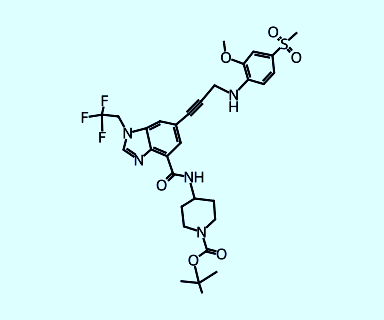 COc1cc(S(C)(=O)=O)ccc1NCC#Cc1cc(C(=O)NC2CCN(C(=O)OC(C)(C)C)CC2)c2ncn(CC(F)(F)F)c2c1